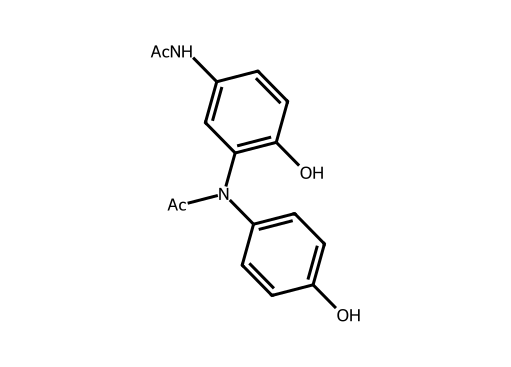 CC(=O)Nc1ccc(O)c(N(C(C)=O)c2ccc(O)cc2)c1